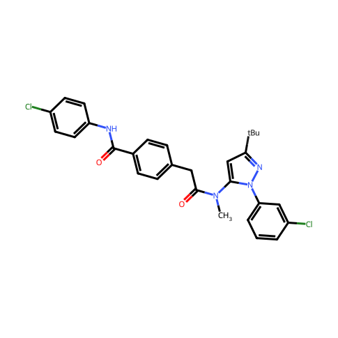 CN(C(=O)Cc1ccc(C(=O)Nc2ccc(Cl)cc2)cc1)c1cc(C(C)(C)C)nn1-c1cccc(Cl)c1